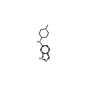 CN1CCC(Nc2ccc3cn[nH]c3c2)CC1